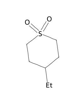 [CH2]CC1CCS(=O)(=O)CC1